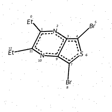 CCc1nc2c(Br)sc(Br)c2nc1CC